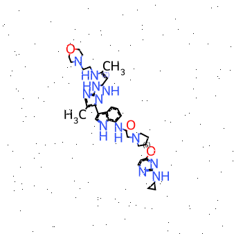 C/C(=C/C(=N)Nc1ncc(C)c(-c2c[nH]c3c(NC(=O)CN4CC[C@H](Oc5ccnc(NC6CC6)n5)C4)cccc23)n1)NCCN1CCOCC1